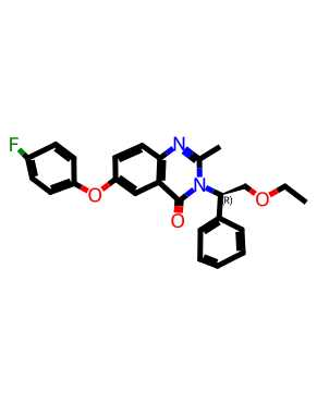 CCOC[C@@H](c1ccccc1)n1c(C)nc2ccc(Oc3ccc(F)cc3)cc2c1=O